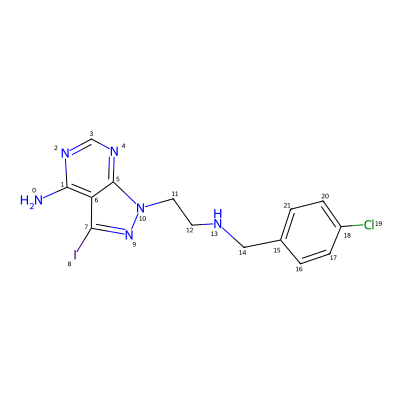 Nc1ncnc2c1c(I)nn2CCNCc1ccc(Cl)cc1